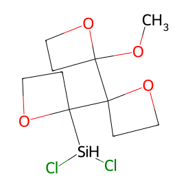 COC1(C2(C3([SiH](Cl)Cl)CCO3)CCO2)CCO1